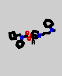 CN(CCC[N+]12CCC(CC1)[C@@H](OC(=O)N(Cc1ccccc1)c1ccccc1)C2)c1ccccc1